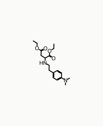 CCOC(=O)CC(NCCc1ccc(N(C)C)cc1)C(=O)OCC